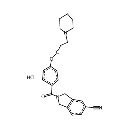 Cl.N#Cc1ccc2c(c1)CN(C(=O)c1ccc(OCCCN3CCCCC3)cc1)C2